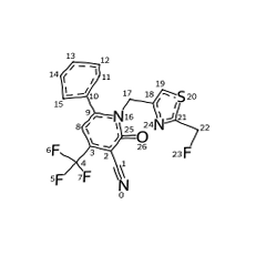 N#Cc1c(C(F)(F)F)cc(-c2ccccc2)n(Cc2csc(CF)n2)c1=O